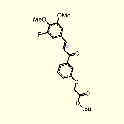 COc1cc(/C=C/C(=O)c2cccc(OCC(=O)OC(C)(C)C)c2)cc(F)c1OC